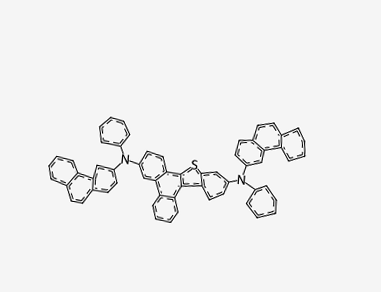 c1ccc(N(c2ccc3c(c2)sc2c4ccc(N(c5ccccc5)c5ccc6ccc7ccccc7c6c5)cc4c4ccccc4c32)c2ccc3ccc4ccccc4c3c2)cc1